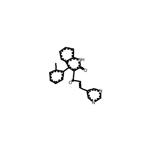 Cc1ccccc1-c1c(C(=O)/C=C/c2cncnc2)c(=O)[nH]c2ccccc12